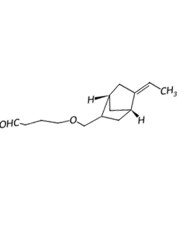 C/C=C1/C[C@@H]2C[C@H]1CC2COCCCC=O